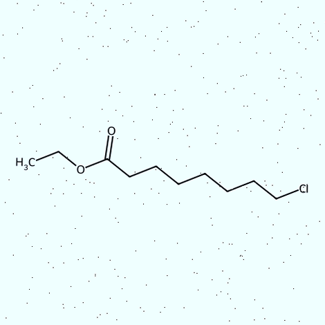 CCOC(=O)CCCCCCCCl